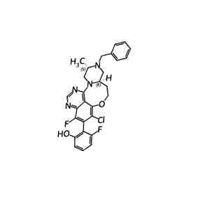 C[C@H]1CN2c3ncnc4c(F)c(-c5c(O)cccc5F)c(Cl)c(c34)OCC[C@@H]2CN1Cc1ccccc1